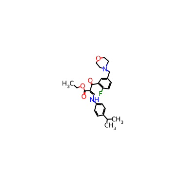 CCOC(=O)C(=CNc1ccc(C(C)C)cc1)C(=O)c1cc(CN2CCOCC2)ccc1F